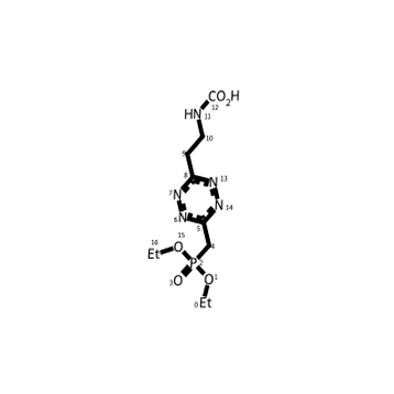 CCOP(=O)(Cc1nnc(CCNC(=O)O)nn1)OCC